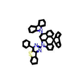 c1ccc(-c2nc(-n3c4cccc5c4c4c6c(cccc6c(-n6c7ccccc7c7ccccc76)cc43)C53c4ccccc4-c4ccccc43)nc3c2sc2ccccc23)cc1